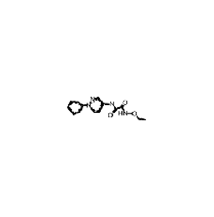 CCONC(=O)C(=O)/N=c1\ccn(-c2ccccc2)nc1